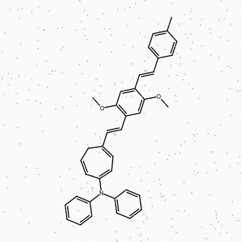 COc1cc(/C=C/c2ccc(C)cc2)c(OC)cc1/C=C/C1=CC=C(N(c2ccccc2)c2ccccc2)C=CC1